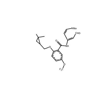 CN/C=C\C(=C/C=O)NC(=O)c1cc(OC(F)(F)F)ccc1OCC1CC1(C)C